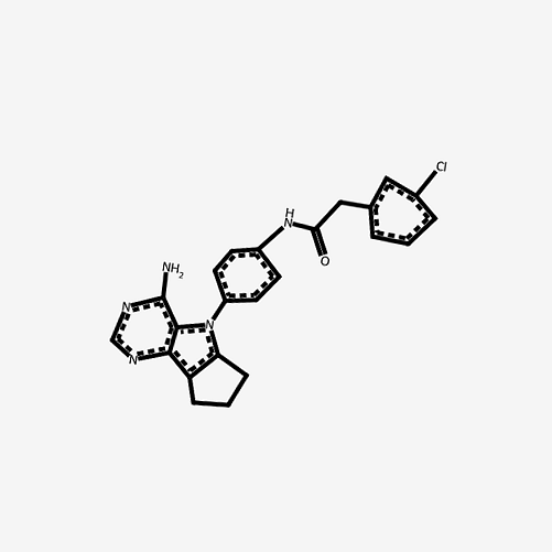 Nc1ncnc2c3c(n(-c4ccc(NC(=O)Cc5cccc(Cl)c5)cc4)c12)CCC3